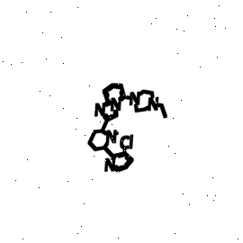 CCN1CCN(c2cccc3nc(C4CCCC(c5ncccc5Cl)N4C)cn23)CC1